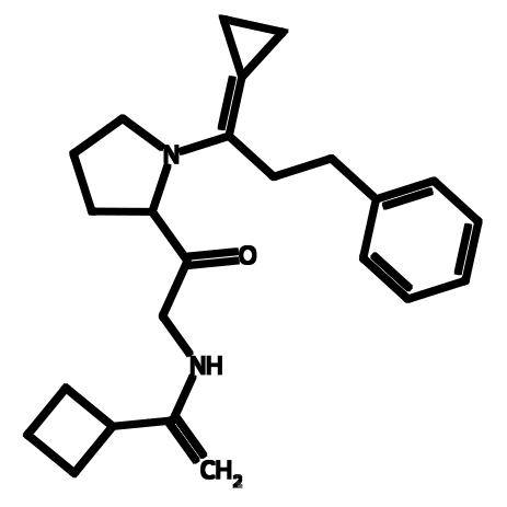 C=C(NCC(=O)C1CCCN1C(CCc1ccccc1)=C1CC1)C1CCC1